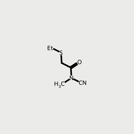 CCSCC(=O)N(C)C#N